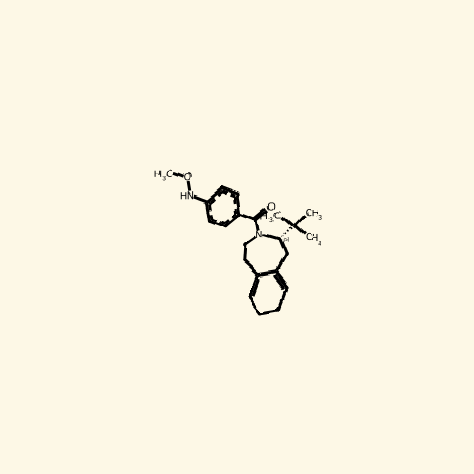 CONc1ccc(C(=O)N2CCC3=CCCC=C3C[C@H]2C(C)(C)C)cc1